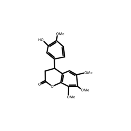 COc1ccc(C2CC(=O)Oc3c2cc(OC)c(OC)c3OC)cc1O